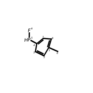 Cc1ccc(PF)cc1